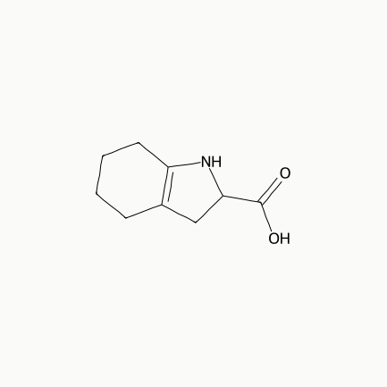 O=C(O)C1CC2=C(CCCC2)N1